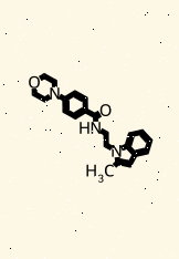 Cc1cc2ccccc2n1CCNC(=O)c1ccc(N2CCOCC2)cc1